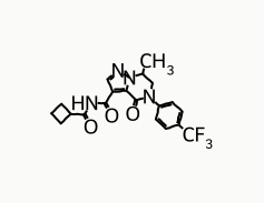 CC1CN(c2ccc(C(F)(F)F)cc2)C(=O)c2c(C(=O)NC(=O)C3CCC3)cnn21